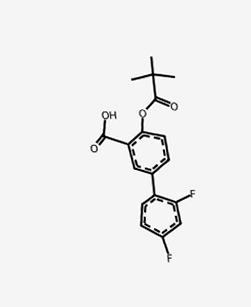 CC(C)(C)C(=O)Oc1ccc(-c2ccc(F)cc2F)cc1C(=O)O